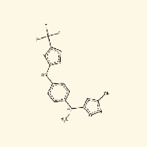 C[C@H](c1ccc(Nc2nc(C(F)(F)F)cs2)cc1)c1cc(O)no1